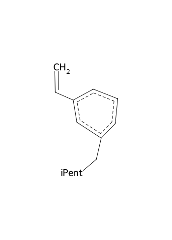 C=Cc1cccc(CC(C)CCC)c1